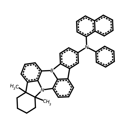 CC12CCCCC1(C)N1c3cccc4c3B(c3ccc(N(c5ccccc5)c5cccc6ccccc56)cc3-4)c3cccc2c31